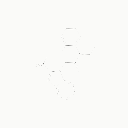 CCN(C(=O)Cn1c(C(=O)O)cc2ccccc21)c1ccccc1C